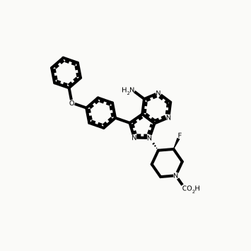 Nc1ncnc2c1c(-c1ccc(Oc3ccccc3)cc1)nn2[C@H]1CCN(C(=O)O)C[C@@H]1F